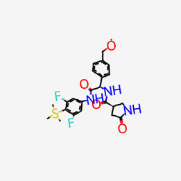 COCc1ccc([C@@H](NC(=O)[C@H]2CNC(=O)C2)C(=O)Nc2cc(F)c(S(C)(C)C)c(F)c2)cc1